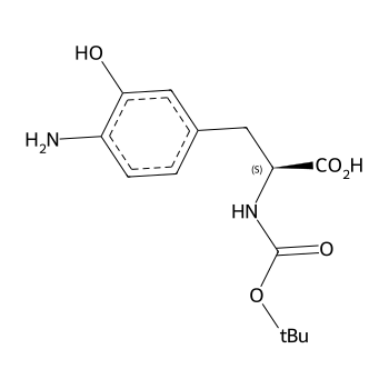 CC(C)(C)OC(=O)N[C@@H](Cc1ccc(N)c(O)c1)C(=O)O